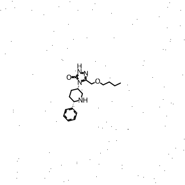 CCCCOCc1n[nH]c(=O)n1[C@H]1CC[C@@H](c2ccccc2)NC1